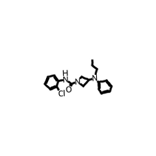 CCCN(c1ccccc1)C1CN(C(=O)Nc2ccccc2Cl)C1